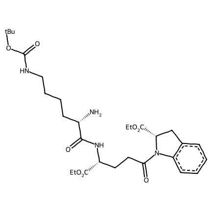 CCOC(=O)[C@@H](CCC(=O)N1c2ccccc2C[C@H]1C(=O)OCC)NC(=O)[C@@H](N)CCCCNC(=O)OC(C)(C)C